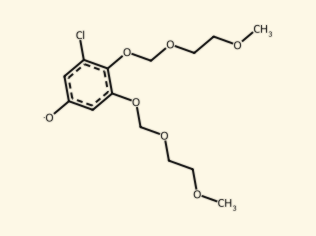 COCCOCOc1cc([O])cc(Cl)c1OCOCCOC